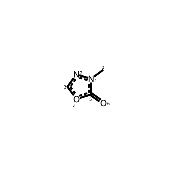 Cn1ncoc1=O